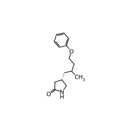 CC(CCOc1ccccc1)C[C@@H]1CNC(=O)C1